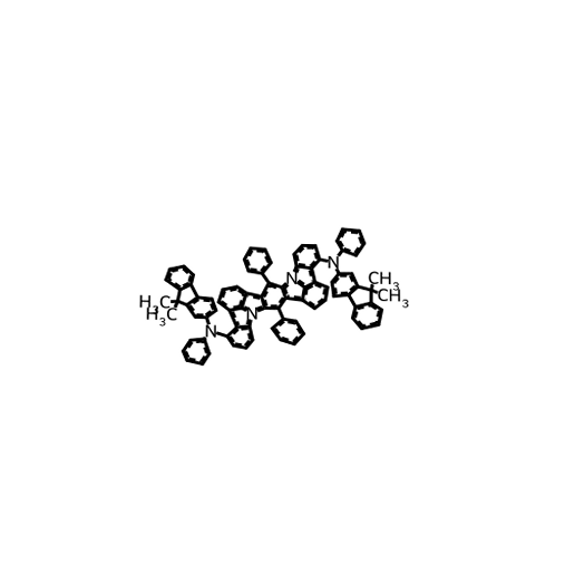 CC1(C)c2ccccc2-c2ccc(N(c3ccccc3)c3cccc4c3c3cccc5c6c(-c7ccccc7)c7c(c(-c8ccccc8)c6n4c35)c3cccc4c5c(N(c6ccccc6)c6ccc8c(c6)C(C)(C)c6ccccc6-8)cccc5n7c43)cc21